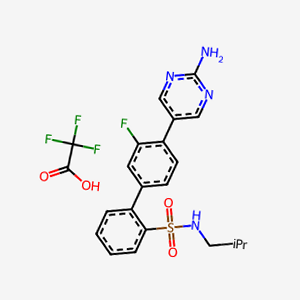 CC(C)CNS(=O)(=O)c1ccccc1-c1ccc(-c2cnc(N)nc2)c(F)c1.O=C(O)C(F)(F)F